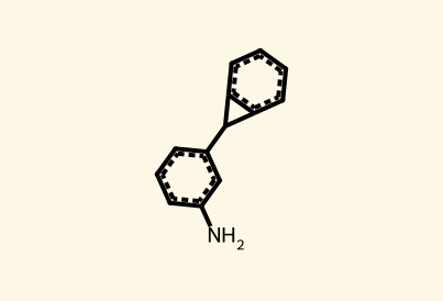 Nc1cccc(C2c3ccccc32)c1